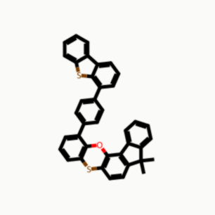 CC1(C)c2ccccc2-c2c1ccc1c2Oc2c(cccc2-c2ccc(-c3cccc4c3sc3ccccc34)cc2)S1